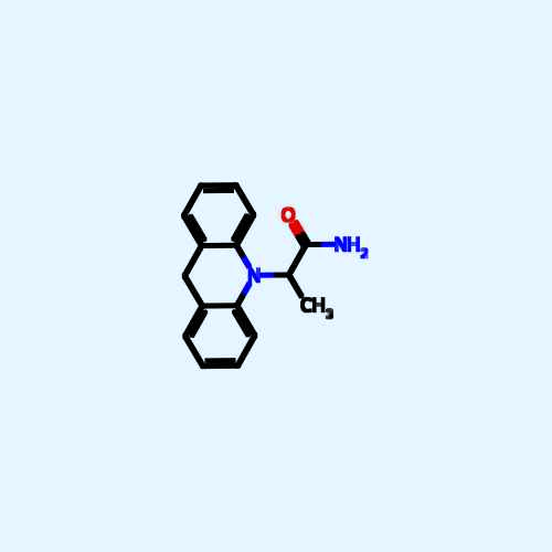 CC(C(N)=O)N1c2ccccc2Cc2ccccc21